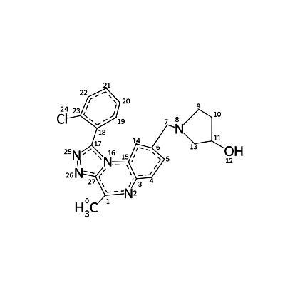 Cc1nc2ccc(CN3CCC(O)C3)cc2n2c(-c3ccccc3Cl)nnc12